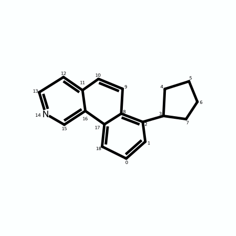 c1cc(C2CCCC2)c2ccc3ccncc3c2c1